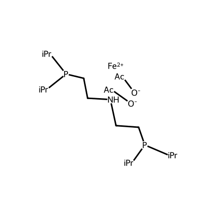 CC(=O)[O-].CC(=O)[O-].CC(C)P(CCNCCP(C(C)C)C(C)C)C(C)C.[Fe+2]